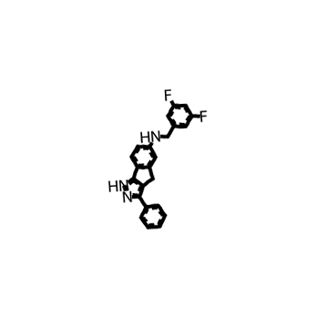 Fc1cc(F)cc(CNc2ccc3c(c2)Cc2c(-c4ccccc4)n[nH]c2-3)c1